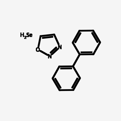 [SeH2].c1ccc(-c2ccccc2)cc1.c1conn1